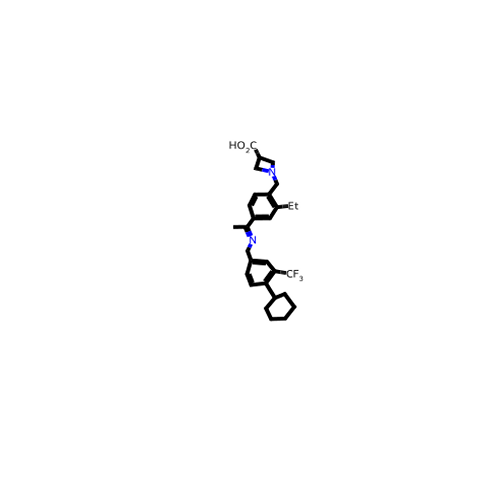 CCc1cc(C(C)=NCc2ccc(C3CCCCC3)c(C(F)(F)F)c2)ccc1CN1CC(C(=O)O)C1